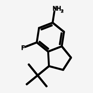 CC(C)(C)C1CCc2cc(N)cc(F)c21